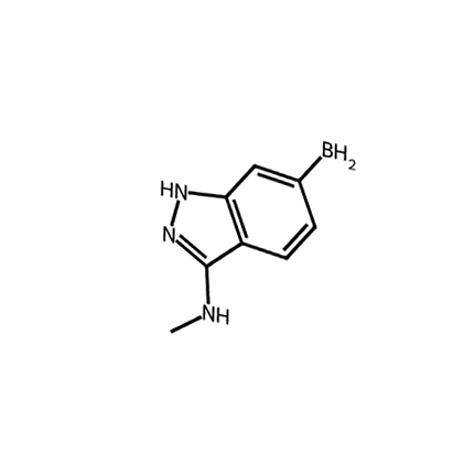 Bc1ccc2c(NC)n[nH]c2c1